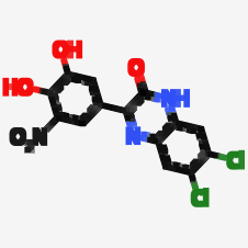 O=c1[nH]c2cc(Cl)c(Cl)cc2nc1-c1cc(O)c(O)c([N+](=O)[O-])c1